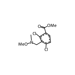 COC(=O)c1ccc(Cl)c(CN(C)OC)c1Cl